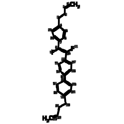 C=CCCc1ccc(/C(F)=C(\F)c2ccc(-c3ccc(CCC=C)cc3)cc2)cc1